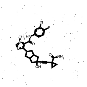 Cn1cnc(C2CC3CC(O)(C#CC4(C(N)=O)CC4)CC3C2)c1C(=O)Nc1ccc(F)c(Cl)c1